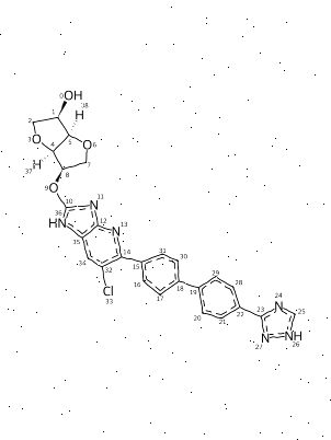 O[C@@H]1CO[C@H]2[C@@H]1OC[C@H]2Oc1nc2nc(-c3ccc(-c4ccc(-c5nc[nH]n5)cc4)cc3)c(Cl)cc2[nH]1